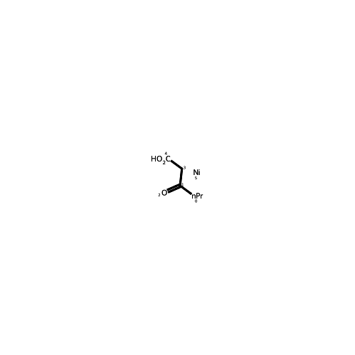 CCCC(=O)CC(=O)O.[Ni]